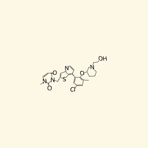 Cc1cc(Cl)cc(-c2ccnc3cc(Cn4c(=O)ccn(C)c4=O)sc23)c1OC1CCCN(CCO)C1